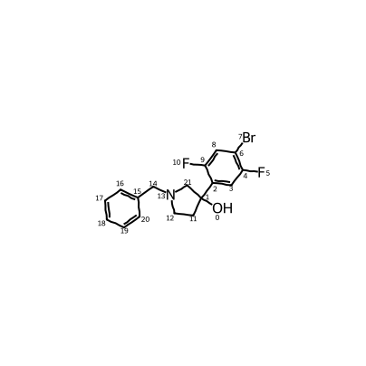 OC1(c2cc(F)c(Br)cc2F)CCN(Cc2ccccc2)C1